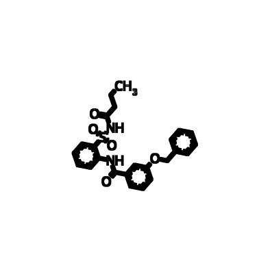 CCCC(=O)NS(=O)(=O)c1ccccc1NC(=O)c1cccc(OCc2ccccc2)c1